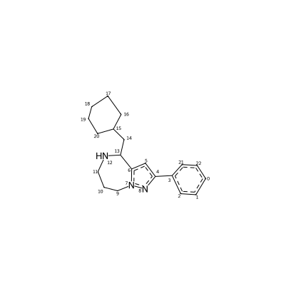 c1ccc(-c2cc3n(n2)CCCNC3CC2CCCCC2)cc1